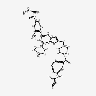 C=CC(=O)Nc1cccc(C(=O)N2CCN(Cc3cc4c(N5CCOCC5)nc(-c5cnc(NC(=O)OC)cc5C(F)(F)F)nn4c3)CC2)c1